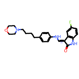 O=C1Nc2ccc(F)cc2/C1=C\Nc1ccc(CCCCN2CCOCC2)cc1